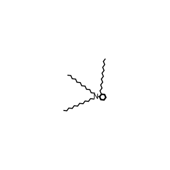 CCCCCCCCCCCCc1ccccc1N(CCCCCCCCCCCC)CCCCCCCCCCCC